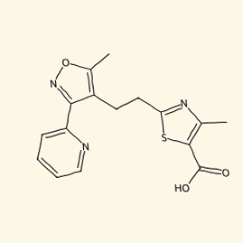 Cc1nc(CCc2c(-c3ccccn3)noc2C)sc1C(=O)O